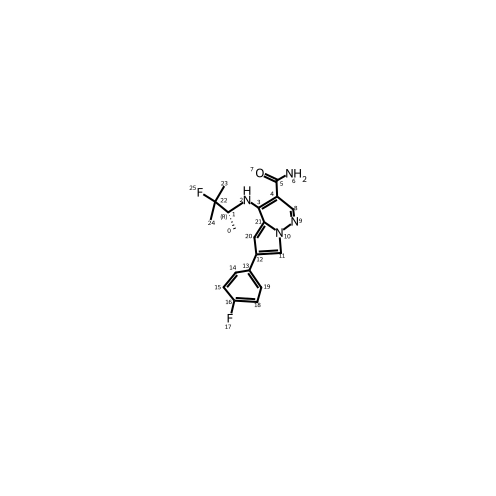 C[C@@H](Nc1c(C(N)=O)cnn2cc(-c3ccc(F)cc3)cc12)C(C)(C)F